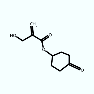 C=C(CO)C(=O)OC1CCC(=O)CC1